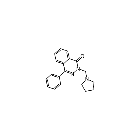 O=c1c2ccccc2c(-c2ccccc2)nn1CN1CCCC1